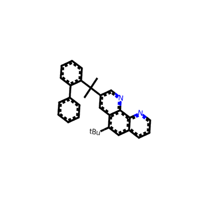 CC(C)(C)c1cc2cccnc2c2ncc(C(C)(C)c3ccccc3-c3ccccc3)cc12